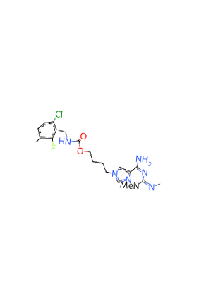 C/N=C(\N=C(\N)c1cn(CCCCOC(=O)NCc2c(Cl)ccc(C)c2F)cn1)NC